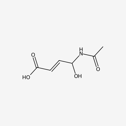 CC(=O)NC(O)C=CC(=O)O